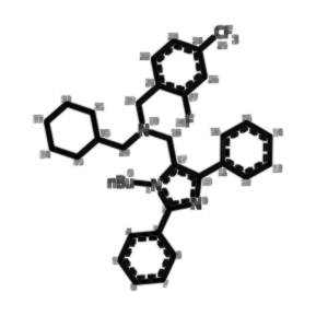 CCCCn1c(-c2ccccc2)nc(-c2ccccc2)c1CN(Cc1ccc(C(F)(F)F)cc1F)CC1CCCCC1